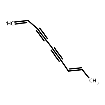 [CH]=CC#CC#CC=CC